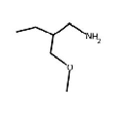 CCC(CN)COC